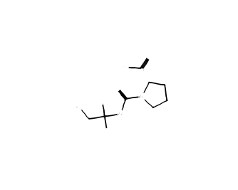 CC(C)(C)CC(C)(C)NC(=O)N1CCC[C@H]1C(=O)S